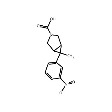 CC1(c2cccc([N+](=O)[O-])c2)C2CN(C(=O)O)CC21